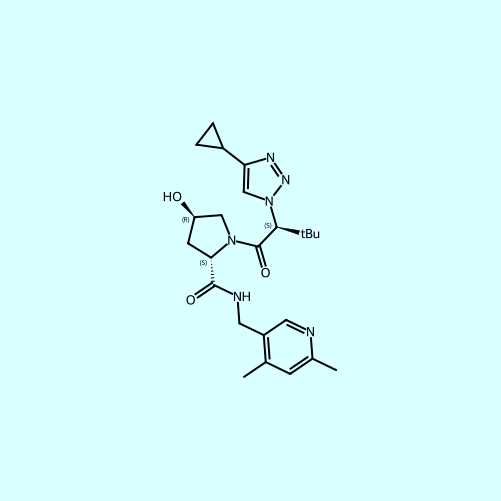 Cc1cc(C)c(CNC(=O)[C@@H]2C[C@@H](O)CN2C(=O)[C@@H](n2cc(C3CC3)nn2)C(C)(C)C)cn1